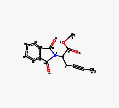 CC#CCC(C(=O)OC(C)C)N1C(=O)c2ccccc2C1=O